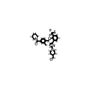 Cc1cc(C(=O)N2CCCCC2)ccc1COc1c(-c2csc(N3CCC(C=O)CC3)n2)cccc1C(F)(F)F